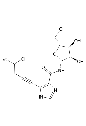 CCC(O)CC#Cc1[nH]cnc1C(=O)N[C@@H]1O[C@H](CO)[C@@H](O)[C@H]1O